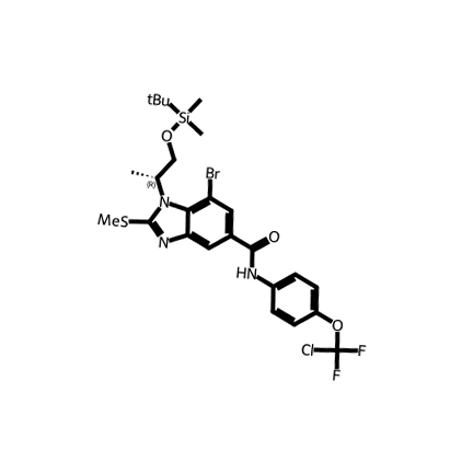 CSc1nc2cc(C(=O)Nc3ccc(OC(F)(F)Cl)cc3)cc(Br)c2n1[C@H](C)CO[Si](C)(C)C(C)(C)C